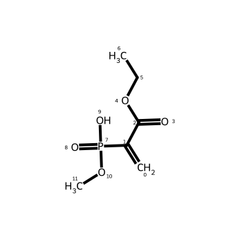 C=C(C(=O)OCC)P(=O)(O)OC